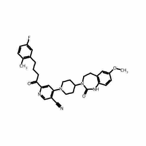 COc1ccc2c(c1)CCN(C1CCN(c3cc(C(=O)CCCc4cc(F)ccc4C)ncc3C#N)CC1)C(=O)N2